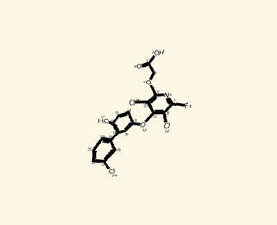 O=C(O)COc1nc(F)c(Cl)c(Oc2ccc(O)c(-c3cccc(Cl)c3)c2)c1Cl